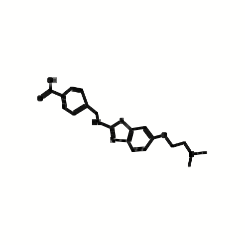 CN(C)CCOc1ccc2nc(NCc3ccc(C(=O)O)cc3)sc2c1